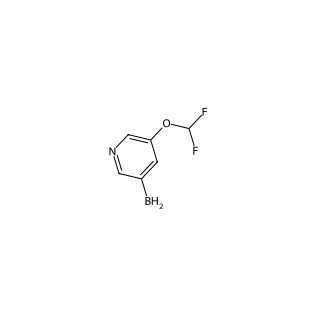 Bc1cncc(OC(F)F)c1